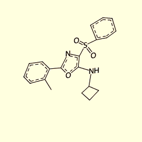 Cc1ccccc1-c1nc(S(=O)(=O)c2ccccc2)c(NC2CCC2)o1